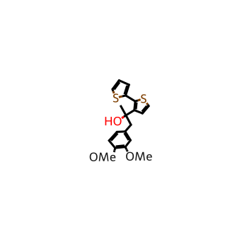 COc1ccc(CC(C)(O)c2ccsc2-c2cccs2)cc1OC